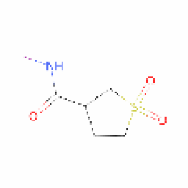 O=C(NI)C1CCS(=O)(=O)C1